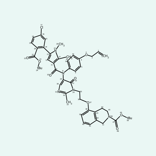 C=CCOc1ccc(N(C(=O)c2cc(-c3cc(Cl)ccc3C(=O)OC(C)(C)C)n(C)c2C)c2cnc(C)n(CCOc3cccc4c3CCN(C(=O)OC(C)(C)C)C4)c2=O)cc1